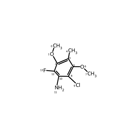 COc1c(C)c(OC)c(Cl)c(N)c1F